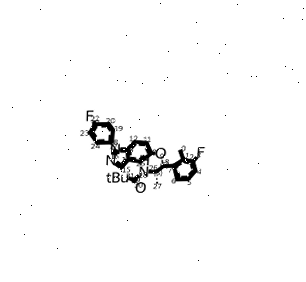 Cc1c(F)cccc1[C@@H](Oc1ccc2c(cnn2-c2ccc(F)cc2)c1)[C@H](C)NC(=O)C(C)(C)C